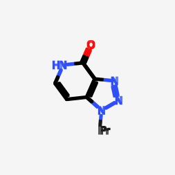 CC(C)n1nnc2c(=O)[nH]ccc21